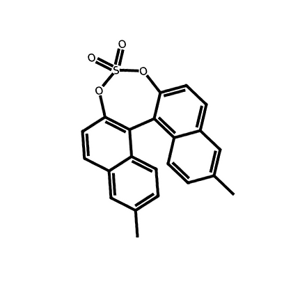 Cc1ccc2c3c(ccc2c1)OS(=O)(=O)Oc1ccc2cc(C)ccc2c1-3